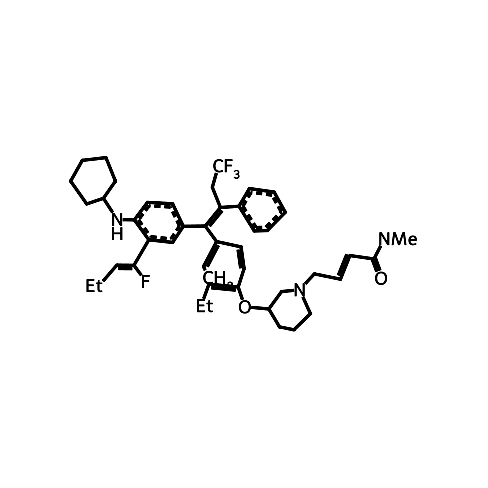 C/C=C(\C=C/C(=C/CC)OC1CCCN(C/C=C/C(=O)NC)C1)C(=C(/CC(F)(F)F)c1ccccc1)/c1ccc(NC2CCCCC2)c(/C(F)=C/CC)c1